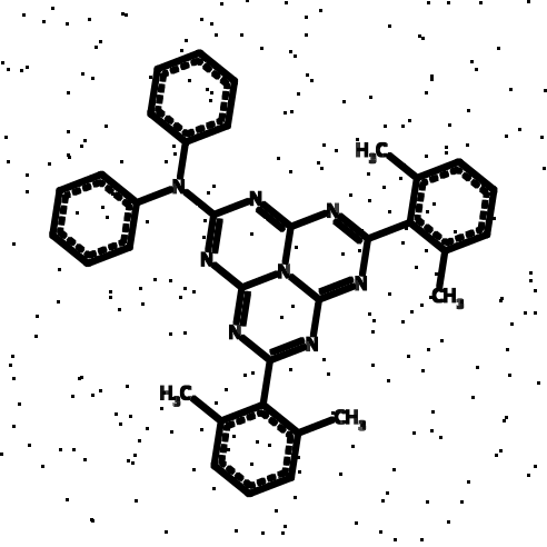 Cc1cccc(C)c1C1=NC2=NC(c3c(C)cccc3C)=NC3=NC(N(c4ccccc4)c4ccccc4)=NC(=N1)N23